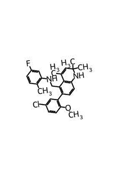 COc1ccc(Cl)cc1-c1ccc2c(c1CNc1cc(F)ccc1C)C(C)=CC(C)(C)N2